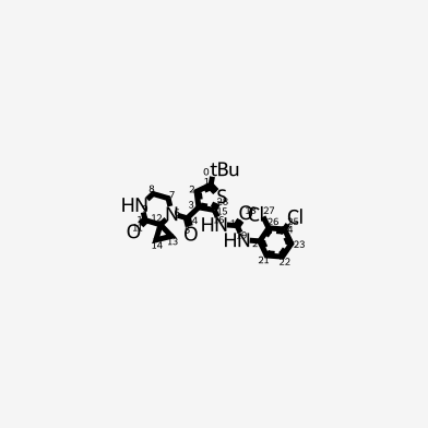 CC(C)(C)c1cc(C(=O)N2CCNC(=O)C23CC3)c(NC(=O)Nc2cccc(Cl)c2Cl)s1